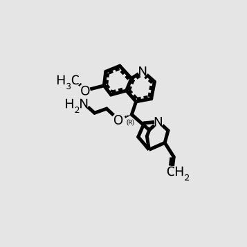 C=CC1CN2CCC1CC2[C@H](OCCN)c1ccnc2ccc(OC)cc12